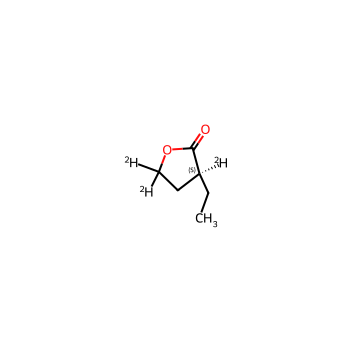 [2H]C1([2H])C[C@]([2H])(CC)C(=O)O1